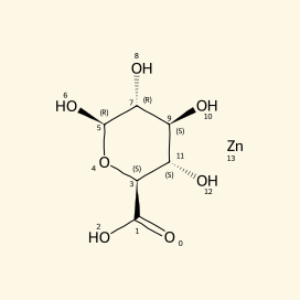 O=C(O)[C@H]1O[C@@H](O)[C@H](O)[C@@H](O)[C@@H]1O.[Zn]